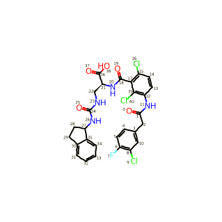 O=C(Cc1ccc(F)c(Cl)c1)Nc1ccc(Cl)c(C(=O)N[C@@H](CNC(=O)NC2CCc3ccccc32)C(=O)O)c1Cl